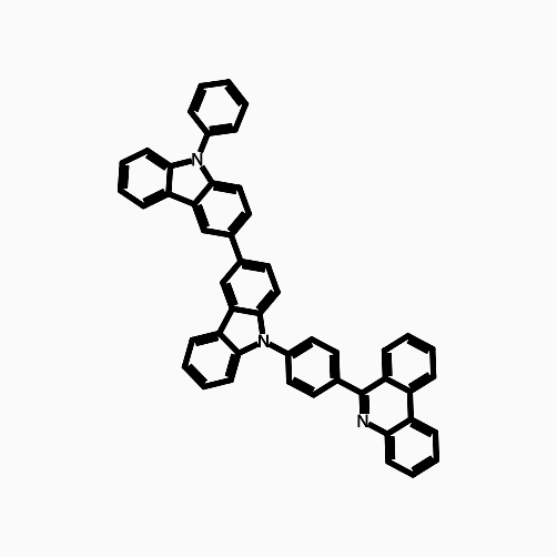 c1ccc(-n2c3ccccc3c3cc(-c4ccc5c(c4)c4ccccc4n5-c4ccc(-c5nc6ccccc6c6ccccc56)cc4)ccc32)cc1